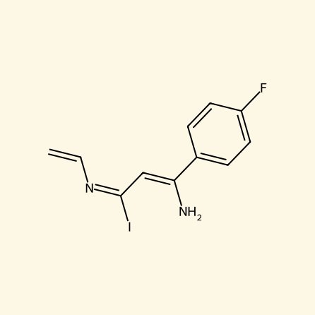 C=C/N=C(I)\C=C(/N)c1ccc(F)cc1